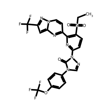 CCS(=O)(=O)c1ccc(-n2ncn(-c3ccc(OC(F)(F)F)cc3)c2=O)nc1-c1ccn2nc(C(F)(F)F)cc2n1